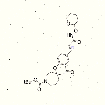 CC(C)(C)OC(=O)N1CCCC2(CC1)CC(=O)c1cc(/C=C/C(=O)NOC3CCCCO3)ccc1O2